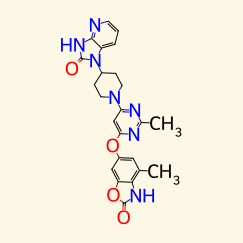 Cc1nc(Oc2cc(C)c3[nH]c(=O)oc3c2)cc(N2CCC(n3c(=O)[nH]c4ncccc43)CC2)n1